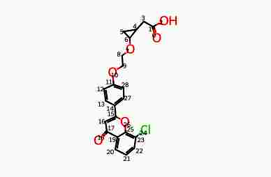 O=C(O)CC1CC1OCCOc1ccc(-c2cc(=O)c3cccc(Cl)c3o2)cc1